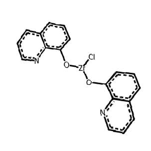 [Cl][Zr]([O]c1cccc2cccnc12)[O]c1cccc2cccnc12